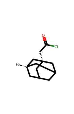 O=C(Cl)C[C@]12CC3CC(C[C@@H](C3)C1)C2